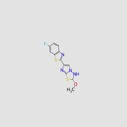 COC1Nn2cc(-c3nc4ccc(F)cc4s3)nc2S1